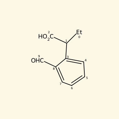 CCC(C(=O)O)c1ccccc1C=O